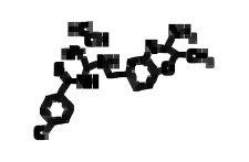 CCCC(NCc1ccc2c(c1)N=C(N)C(C)O2)NC(=S)c1ccc(Cl)cc1.Cl.Cl